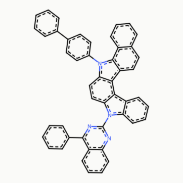 c1ccc(-c2ccc(-n3c4ccc5c(c6ccccc6n5-c5nc(-c6ccccc6)c6ccccc6n5)c4c4ccc5ccccc5c43)cc2)cc1